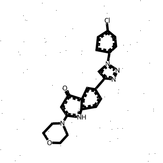 O=c1cc(N2CCOCC2)[nH]c2ccc(-c3cn(-c4ccc(Cl)cc4)nn3)cc12